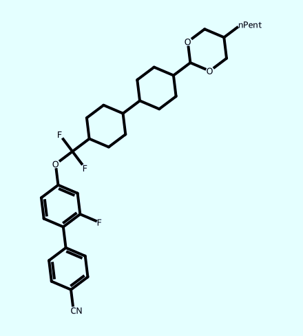 CCCCCC1COC(C2CCC(C3CCC(C(F)(F)Oc4ccc(-c5ccc(C#N)cc5)c(F)c4)CC3)CC2)OC1